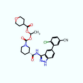 CC(OC(=O)C1CCOCC1)OC(=O)N1CCC[C@@H](C(=O)Nc2n[nH]c3ccc(-c4cc(C#N)ccc4Cl)cc23)C1